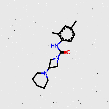 Cc1ccc(NC(=O)N2CC(N3CCCCC3)C2)c(C)c1